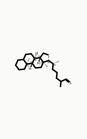 CC(C=S)CCC[C@@H](C)[C@H]1CC[C@H]2[C@@H]3CCC4CCCC[C@]4(C)[C@H]3CC[C@]12C